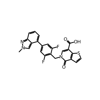 Cn1cc2c(-c3cc(F)c(Cn4cc(C(=O)O)c5sccc5c4=O)c(F)c3)cccc2n1